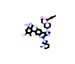 CC#CC(=O)N1CC[C@H](n2cnc3c(N4CC5(CCCN5C)C4)nc4c(F)c(-c5c(C)c(Cl)cc6[nH]ncc56)c(Cl)cc4c32)C[C@H]1CC#N